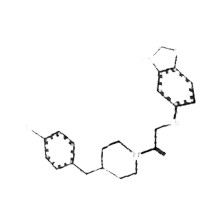 O=C(CNc1ccc2c(c1)N[CH]N2)N1CCC(Cc2ccc(F)cc2)CC1